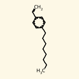 C=Cc1ccc(CCCCCCCC)cc1